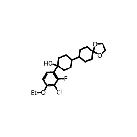 CCOc1ccc(C2(O)CCC(C3CCC4(CC3)OCCO4)CC2)c(F)c1Cl